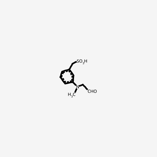 CN(CC=O)c1cccc(CS(=O)(=O)O)c1